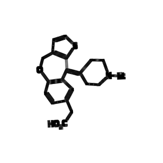 CCN1CCC(=C2c3cc(CC(=O)O)ccc3OCc3ccsc32)CC1